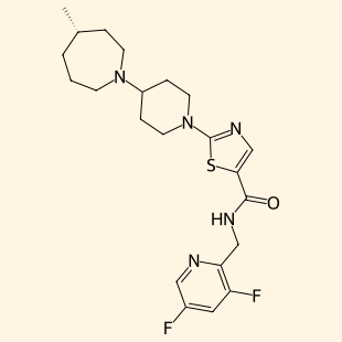 C[C@H]1CCCN(C2CCN(c3ncc(C(=O)NCc4ncc(F)cc4F)s3)CC2)CC1